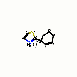 O=C(O)C1(c2nccs2)C=CCCC1